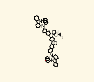 CC1(C)c2cc3cc(N(c4ccccc4)c4cccc5c6ccccc6n(-c6ccccc6)c45)ccc3cc2-c2cc3c(cc21)oc1cc2cc(N(c4ccccc4)c4cccc5c6ccccc6n(-c6ccccc6)c45)ccc2cc13